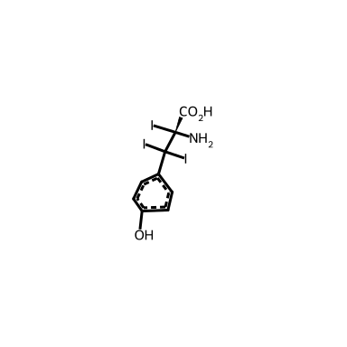 N[C@](I)(C(=O)O)C(I)(I)c1ccc(O)cc1